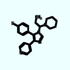 CCC(N1CCCCC1)n1cnc(-c2ccncc2)c1-c1ccc(F)cc1